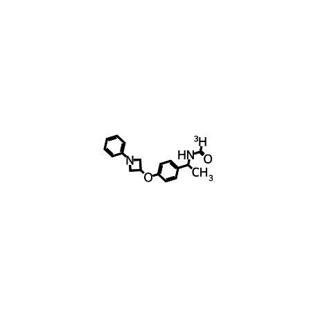 [3H]C(=O)NC(C)c1ccc(OC2CN(c3ccccc3)C2)cc1